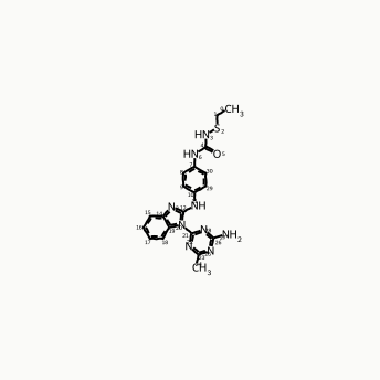 CCSNC(=O)Nc1ccc(Nc2nc3ccccc3n2-c2nc(C)nc(N)n2)cc1